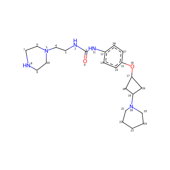 O=C(NCCN1CCNCC1)Nc1ccc(OC2CC(N3CCCCC3)C2)cc1